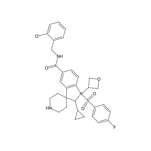 O=C(NCc1ccccc1Cl)c1ccc2c(c1)C1(CCNCC1)C(C1CC1)[N+]2(C1COC1)S(=O)(=O)c1ccc(F)cc1